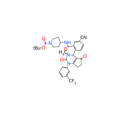 CN1C(=O)N(c2cccc(C(F)(F)F)c2)C2=C(C(=O)CC2)C1c1ccc(C#N)cc1C(=O)NC1CCN(C(=O)OC(C)(C)C)CC1